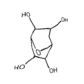 OC1C(O)C2OC1C(O)C2O